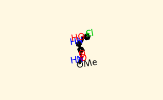 COCCNC(=O)COc1ccc(C2CCC(NCC(O)c3cccc(Cl)c3)C2)cc1